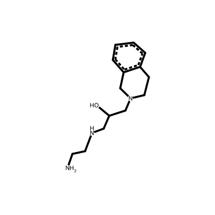 NCCNCC(O)CN1CCc2ccccc2C1